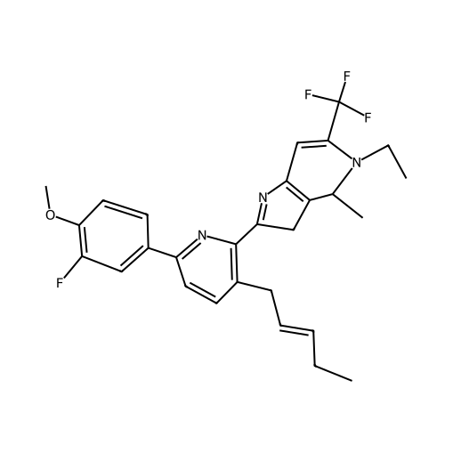 CCC=CCc1ccc(-c2ccc(OC)c(F)c2)nc1C1=NC2=C(C1)C(C)N(CC)C(C(F)(F)F)=C2